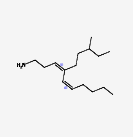 CCCC/C=C\C(=C/CCN)CCC(C)CC